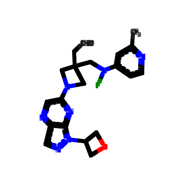 O=CCC1(CN(F)c2ccnc(C(F)(F)F)c2)CN(c2cnc3cnn(C4COC4)c3n2)C1